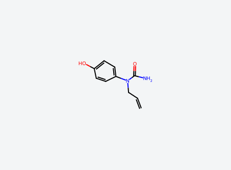 C=CCN(C(N)=O)c1ccc(O)cc1